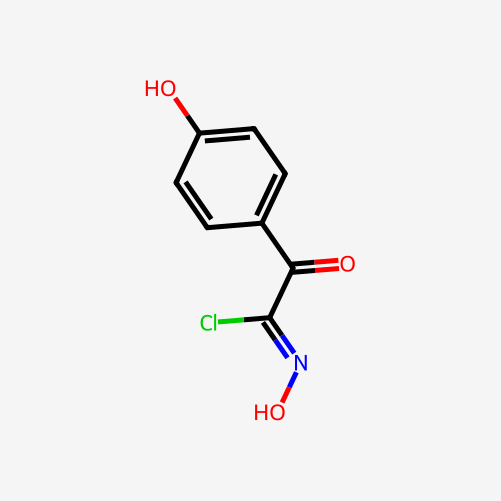 O=C(C(Cl)=NO)c1ccc(O)cc1